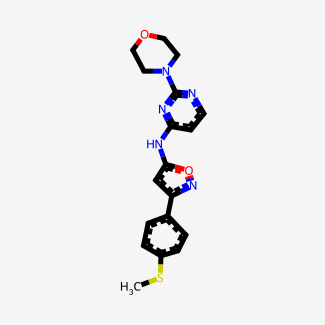 CSc1ccc(-c2cc(Nc3ccnc(N4CCOCC4)n3)on2)cc1